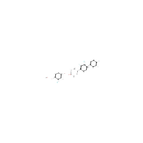 CCOCc1ccc(COC2CCC(c3ccc(-c4ccc(C)cc4)c(F)c3F)CC2)cc1F